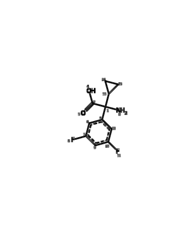 NC(C(=O)O)(c1cc(F)cc(F)c1)C1CC1